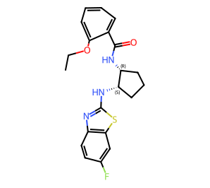 CCOc1ccccc1C(=O)N[C@@H]1CCC[C@@H]1Nc1nc2ccc(F)cc2s1